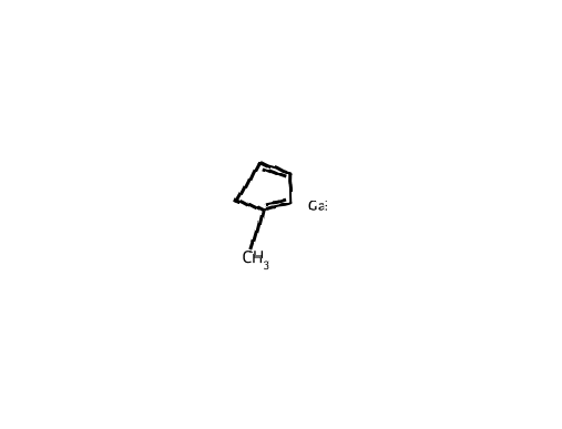 CC1=CC=CC1.[Ga]